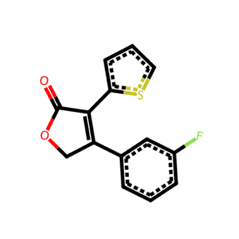 O=C1OCC(c2cccc(F)c2)=C1c1cccs1